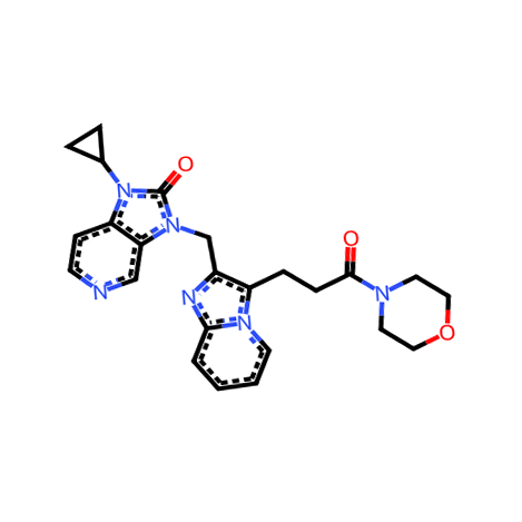 O=C(CCc1c(Cn2c(=O)n(C3CC3)c3ccncc32)nc2ccccn12)N1CCOCC1